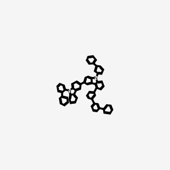 c1ccc(-c2cccc(-c3cccc(-c4cccc5c4c4cc(-c6ccc7c(c6)c6ccccc6n7-c6ccccc6-c6ccccc6)ccc4n5-c4cccc(-c5ccccc5)c4)c3)c2)cc1